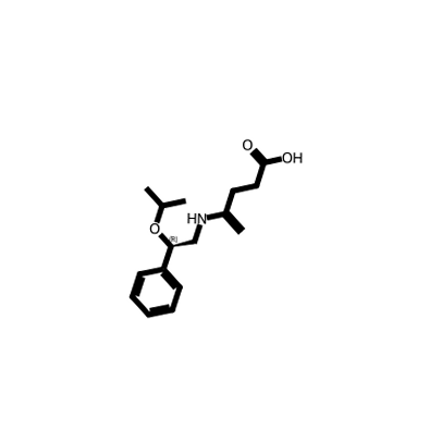 C=C(CCC(=O)O)NC[C@H](OC(C)C)c1ccccc1